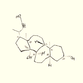 CC(NO)[C@H]1CC[C@]2(O)[C@@H]3CC[C@@H]4C[C@@H](O)CC[C@]4(C)[C@H]3CC[C@]12C